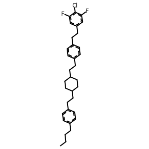 CCCCc1ccc(CCC2CCC(CCc3ccc(CCc4cc(F)c(Cl)c(F)c4)cc3)CC2)cc1